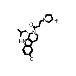 CC(C)C[C@H]1c2[nH]c3ccc(Cl)cc3c2CCN1C(=O)CCN1CC[C@H](F)C1